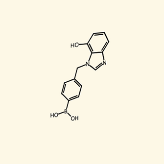 OB(O)c1ccc(Cn2cnc3cccc(O)c32)cc1